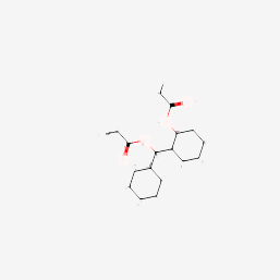 O=C(O)CC(=O)OC1CCCCC1C(OC(=O)CC(=O)O)C1CCCCC1